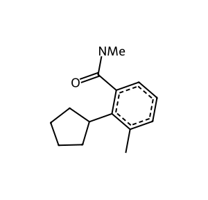 CNC(=O)c1cccc(C)c1C1CCCC1